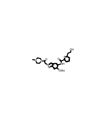 COc1cc2nn(CC(=O)N3CCN(C)CC3)cc2cc1NC(=O)c1cccc(CCO)n1